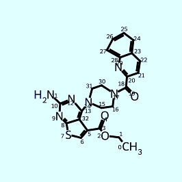 CCOC(=O)c1csc2nc(N)nc(N3CCN(C(=O)c4ccc5ccccc5n4)CC3)c12